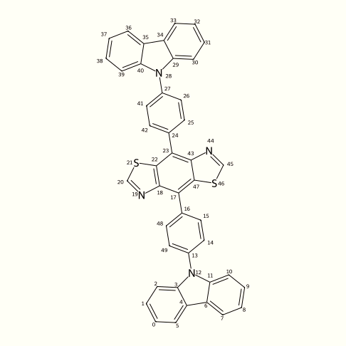 c1ccc2c(c1)c1ccccc1n2-c1ccc(-c2c3ncsc3c(-c3ccc(-n4c5ccccc5c5ccccc54)cc3)c3ncsc23)cc1